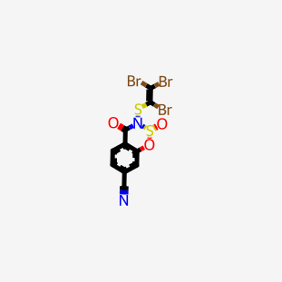 N#Cc1ccc2c(c1)OS(=O)N(SC(Br)=C(Br)Br)C2=O